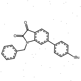 CC(C)(C)c1ccc(-c2ccc3c(c2)N(Cc2ccccc2)C(=O)C3=O)cc1